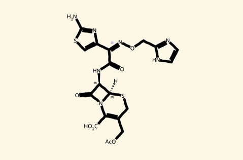 CC(=O)OCC1=C(C(=O)O)N2C(=O)[C@@H](NC(=O)/C(=N\OCc3ncc[nH]3)c3csc(N)n3)[C@H]2SC1